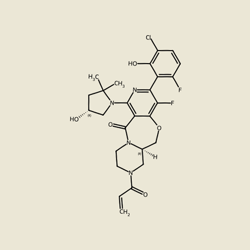 C=CC(=O)N1CCN2C(=O)c3c(N4C[C@H](O)CC4(C)C)nc(-c4c(F)ccc(Cl)c4O)c(F)c3OC[C@H]2C1